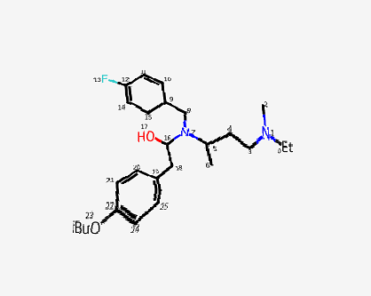 CCN(C)CCC(C)N(CC1C=CC(F)=CC1)C(O)Cc1ccc(OCC(C)C)cc1